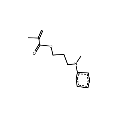 C=C(C)C(=O)OCCCN(C)c1ccccc1